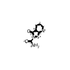 NC(=O)n1sc2ncccc2c1=O